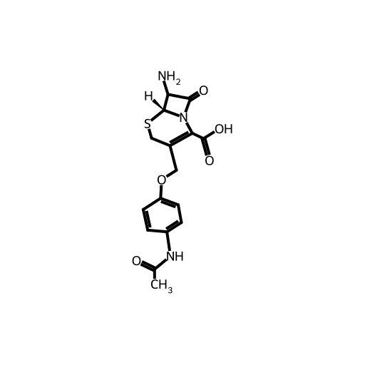 CC(=O)Nc1ccc(OCC2=C(C(=O)O)N3C(=O)C(N)[C@H]3SC2)cc1